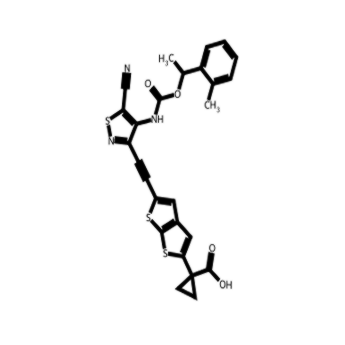 Cc1ccccc1C(C)OC(=O)Nc1c(C#Cc2cc3cc(C4(C(=O)O)CC4)sc3s2)nsc1C#N